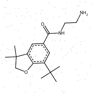 CC(C)(C)c1cc(C(=O)NCCN)cc2c1OCC2(C)C